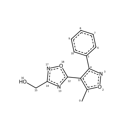 Cc1onc(-c2ccccc2)c1-c1nc(CO)no1